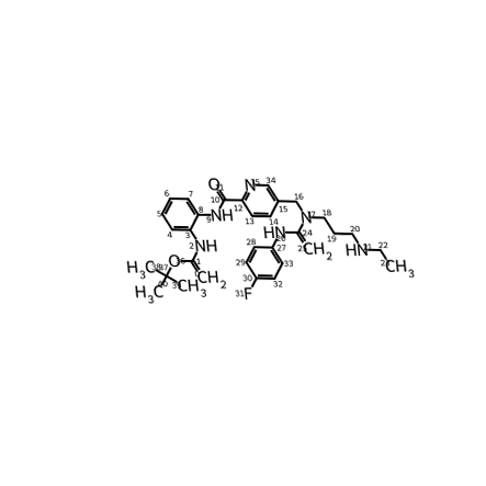 C=C(Nc1ccccc1NC(=O)c1ccc(CN(CCCNCC)C(=C)Nc2ccc(F)cc2)cn1)OC(C)(C)C